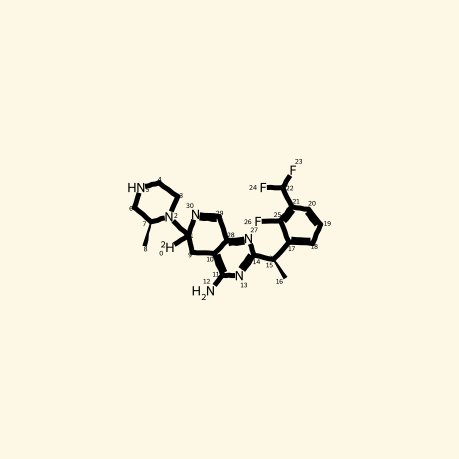 [2H]C1(N2CCNC[C@@H]2C)Cc2c(N)nc([C@H](C)c3cccc(C(F)F)c3F)nc2C=N1